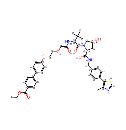 CCOC(=O)c1ccc(-c2ccc(OCCOCC(=O)N[C@H](C(=O)N3C[C@H](O)C[C@H]3C(=O)NCc3ccc(-c4scnc4C)cc3)C(C)(C)C)cc2)cc1